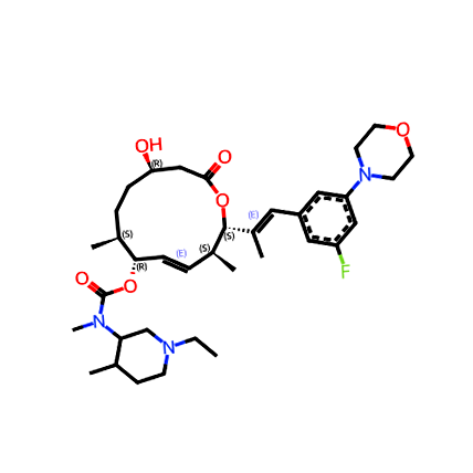 CCN1CCC(C)C(N(C)C(=O)O[C@H]2/C=C/[C@H](C)[C@@H](/C(C)=C/c3cc(F)cc(N4CCOCC4)c3)OC(=O)C[C@H](O)CC[C@@H]2C)C1